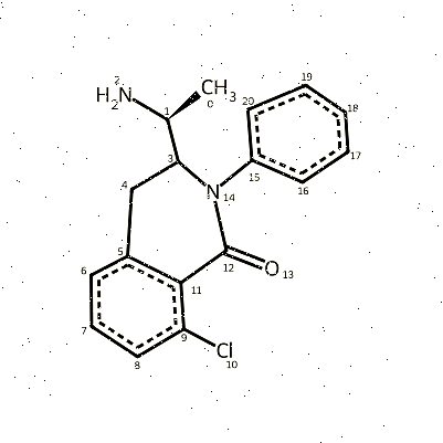 C[C@H](N)C1Cc2cccc(Cl)c2C(=O)N1c1ccccc1